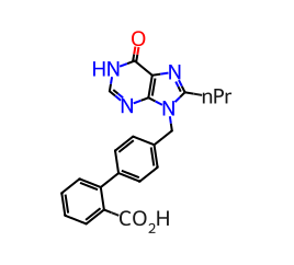 CCCc1nc2c(=O)[nH]cnc2n1Cc1ccc(-c2ccccc2C(=O)O)cc1